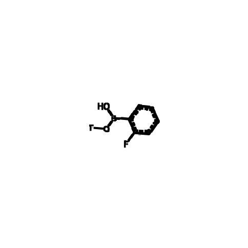 OB(OF)c1ccccc1F